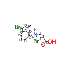 O=C(O)CCCN(CBr)CC1=C2C=CC=CC(=C(Br)C=C1)C2